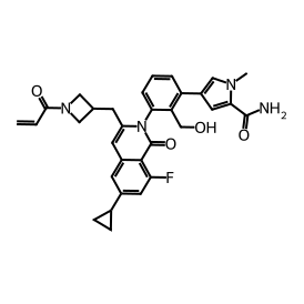 C=CC(=O)N1CC(Cc2cc3cc(C4CC4)cc(F)c3c(=O)n2-c2cccc(-c3cc(C(N)=O)n(C)c3)c2CO)C1